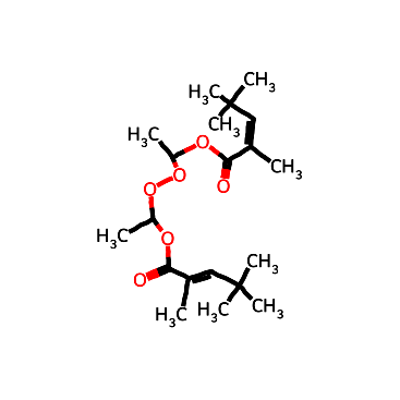 CC(=CC(C)(C)C)C(=O)OC(C)OOC(C)OC(=O)C(C)=CC(C)(C)C